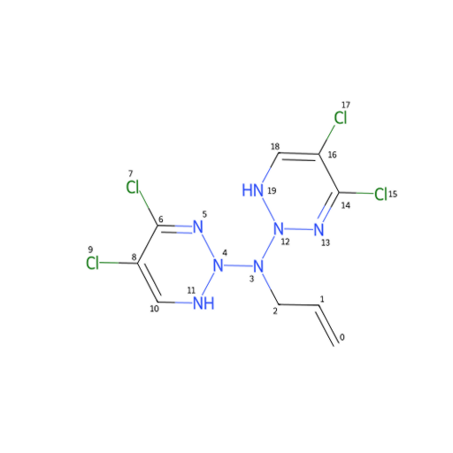 C=CCN(N1N=C(Cl)C(Cl)=CN1)N1N=C(Cl)C(Cl)=CN1